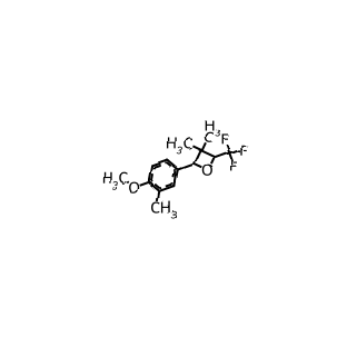 COc1ccc(C2OC(C(F)(F)F)C2(C)C)cc1C